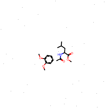 COC(=O)C(CC(C)C)NC(C)=O.COc1ccccc1OC